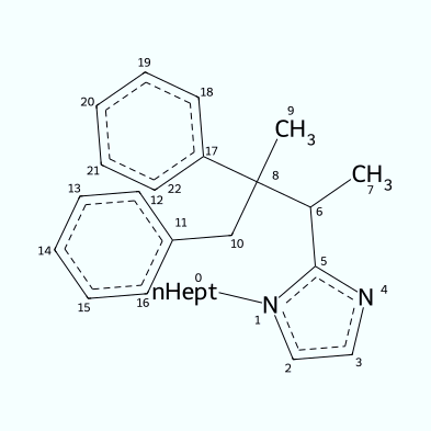 CCCCCCCn1ccnc1C(C)C(C)(Cc1ccccc1)c1ccccc1